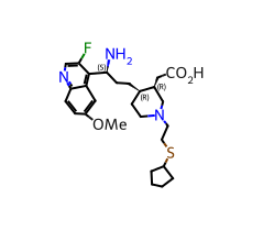 COc1ccc2ncc(F)c([C@@H](N)CC[C@@H]3CCN(CCSC4CCCC4)C[C@@H]3CC(=O)O)c2c1